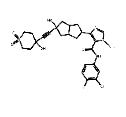 Cn1cnc(C2CC3CC(O)(C#CC4(O)CCS(=O)(=O)CC4)CC3C2)c1C(=O)Nc1ccc(F)c(Cl)c1